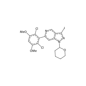 COc1cc(OC)c(Cl)c(-c2cc3c(cn2)c(I)nn3C2CCCCO2)c1Cl